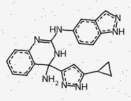 NC1(c2cc(C3CC3)[nH]n2)NC(Nc2ccc3[nH]ncc3c2)=Nc2ccccc21